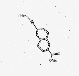 CCCCCCC#Cc1ccc2cc(C(=O)OC)ccc2c1